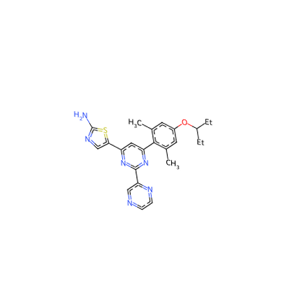 CCC(CC)Oc1cc(C)c(-c2cc(-c3cnc(N)s3)nc(-c3cnccn3)n2)c(C)c1